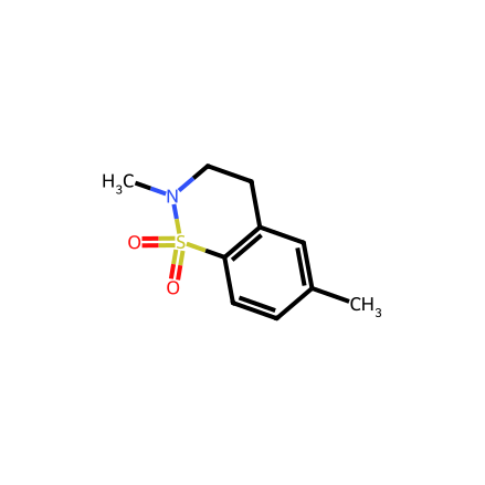 Cc1ccc2c(c1)CCN(C)S2(=O)=O